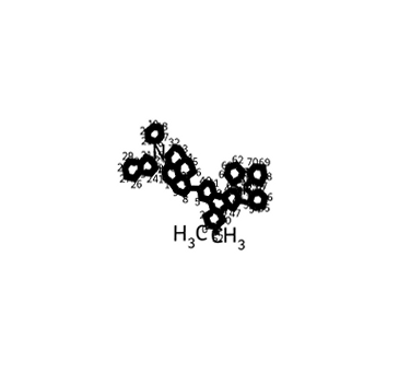 Cc1cc2c3cc(-c4ccc5ccc6c(N(c7ccccc7)c7ccc8ccccc8c7)ccc7ccc4c5c76)ccc3c3cc4c(cc3c2cc1C)-c1ccccc1[Si]4(c1ccccc1)c1ccccc1